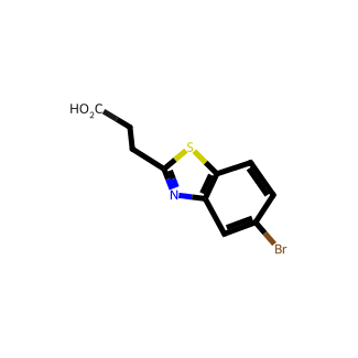 O=C(O)CCc1nc2cc(Br)ccc2s1